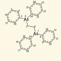 c1ccc([As](CC[As](c2ccccc2)c2ccccc2)c2ccccc2)cc1